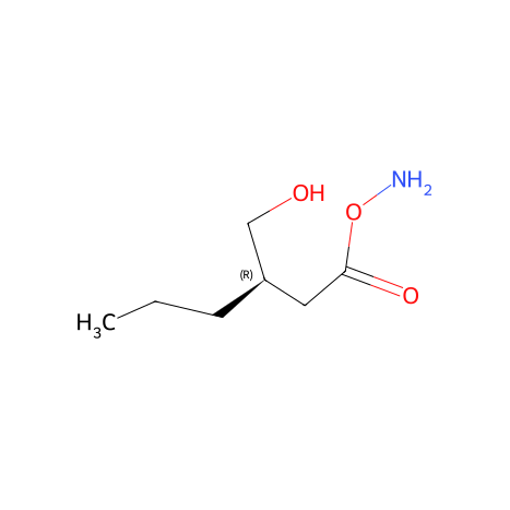 CCC[C@@H](CO)CC(=O)ON